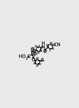 N#Cc1ccc(C(=O)Nc2ccc(S(=O)(=O)CC(COc3cccc(F)c3)C(=O)O)cc2)cc1